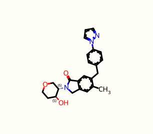 Cc1cc2c(cc1Cc1ccc(-n3cccn3)cc1)C(=O)N([C@H]1COCC[C@@H]1O)C2